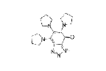 O=C1C2=[N+]N=NC2=C(N2CCCC2)C(N2CCCC2)=C1N1CCCC1